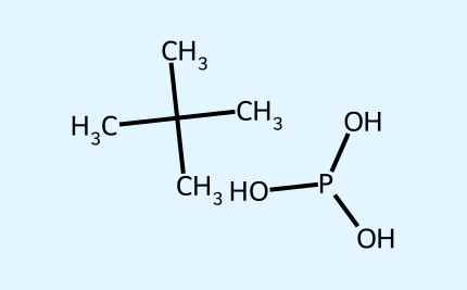 CC(C)(C)C.OP(O)O